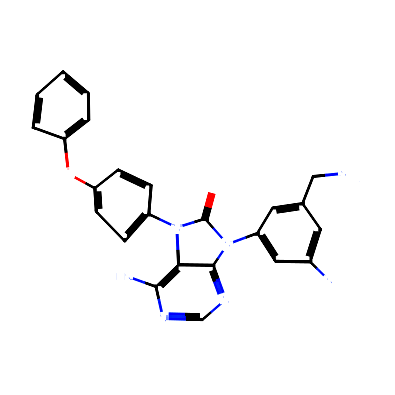 NCc1cc(N)cc(-n2c(=O)n(-c3ccc(Oc4ccccc4)cc3)c3c(N)ncnc32)c1